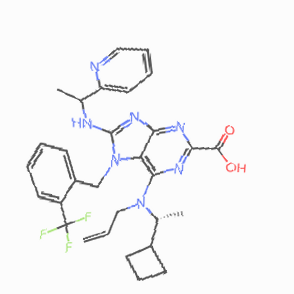 C=CCN(c1nc(C(=O)O)nc2nc(NC(C)c3ccccn3)n(Cc3ccccc3C(F)(F)F)c12)[C@H](C)C1CCC1